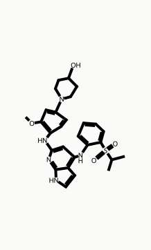 COc1cc(N2CCC(O)CC2)ccc1Nc1cc(Nc2ccccc2S(=O)(=O)C(C)C)c2cc[nH]c2n1